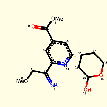 COCC(=N)c1cc(C(=O)OC)ccn1.OC1CCCCO1